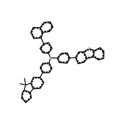 CC1(C)c2ccccc2-c2ccc(-c3ccc(N(c4ccc(-c5ccc6c(c5)sc5ccccc56)cc4)c4ccc(-c5cccc6ccccc56)cc4)cc3)cc21